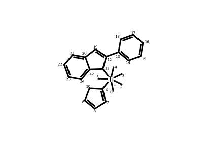 [CH3][Ti]([CH3])([CH3])([CH3])([CH3])([C]1=CC=CC1)[CH]1C(c2ccccc2)=Cc2ccccc21